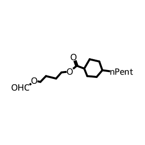 CCCCCC1CCC(C(=O)OCCCCOC=O)CC1